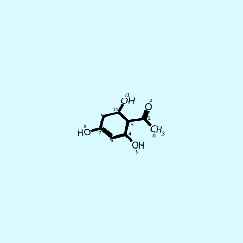 CC(=O)C1C(O)C=C(O)CC1O